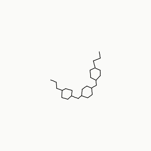 CCCC1CCC(CC2CCC(CC3CCC(CCC)CC3)CC2)CC1